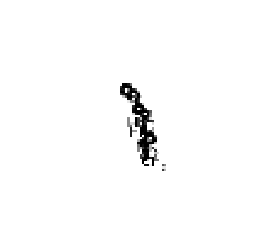 COC(=O)n1ncc2c(NC(=O)NC3CCc4cc(N5CCC6CCCCC6C5)ccc43)cccc21